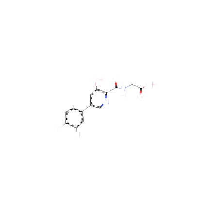 O=C(O)CNC(=O)c1ncc(-c2ccc(F)c(Cl)c2)cc1O